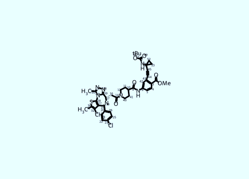 COC(=O)c1ccc(NC(=O)C2CCN(C(=O)C[C@@H]3N=C(c4ccc(Cl)cc4)c4c(sc(C)c4C)-n4c(C)nnc43)CC2)cc1C#CC1(NC(=O)OC(C)(C)C)CC1